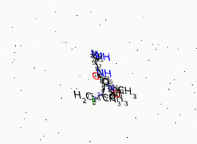 C=C/C(F)=C\C=C(/C)C#Cc1cc(C(=O)NCCCc2cn[nH]c2)ccc1N1C[C@@H](C)O[C@@H](C)C1